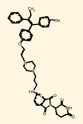 CCC(=C(c1ccc(O)cc1)c1ccc(OCCN2CCN(CCCNc3ccc4c(c3)C(=O)N(C3CCC(=O)NC3=O)C4=O)CC2)cc1)c1ccccc1